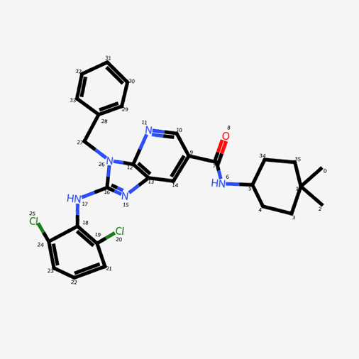 CC1(C)CCC(NC(=O)c2cnc3c(c2)nc(Nc2c(Cl)cccc2Cl)n3Cc2ccccc2)CC1